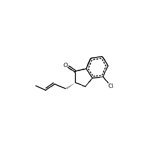 CC=CC[C@H]1Cc2c(Cl)cccc2C1=O